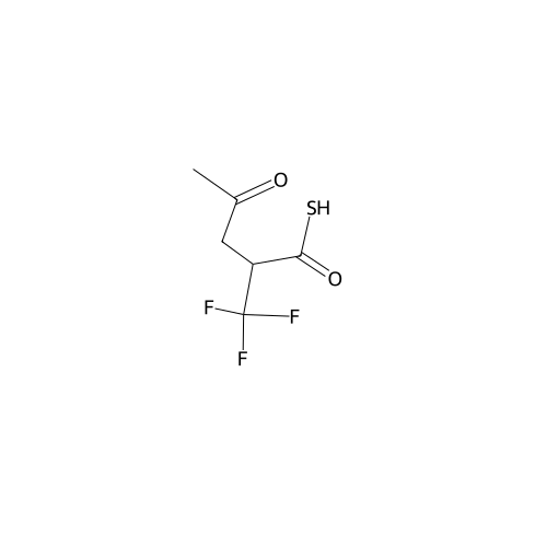 CC(=O)CC(C(=O)S)C(F)(F)F